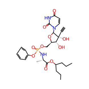 C#C[C@]1(O)C(n2ccc(=O)[nH]c2=O)O[C@H](COP(=O)(N[C@@H](C)C(=O)OC(CCC)CCC)Oc2ccccc2)[C@H]1O